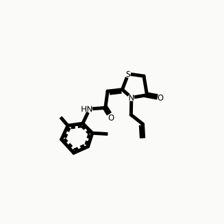 C=CCN1C(=O)CSC1=CC(=O)Nc1c(C)cccc1C